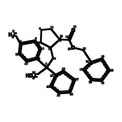 Cc1ccc(C(CC2CCCN2C(=O)OCc2ccccc2)(C(=O)O)c2ccccc2)cc1